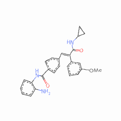 COc1cccc(/C(=C\c2ccc(C(=O)Nc3ccccc3N)cc2)C(=O)NC2CC2)c1